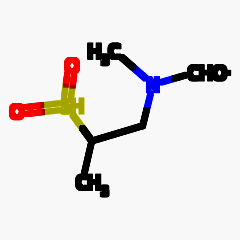 CC(CN(C)[C]=O)[SH](=O)=O